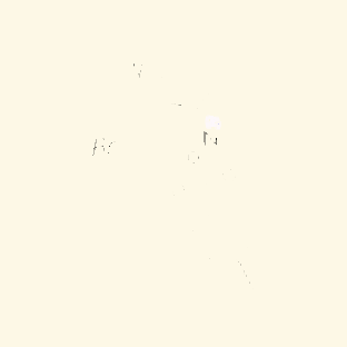 Cc1ccc(S(=O)(=O)O/N=C2/CCCc3ncc(Br)cc32)cc1